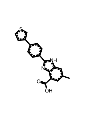 Cc1cc(C(=O)O)c2nc(-c3ccc(-c4ccsc4)cc3)[nH]c2c1